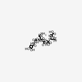 CC(C)(ON=C(C(=O)NC1C(=O)N2CC(CSc3cc(C(F)(F)F)nc4c(C(=O)O)cnn34)(C(=O)O)CS[C@H]12)c1csc(N)n1)C(=O)NNC(=O)c1ccc(O)c(O)c1